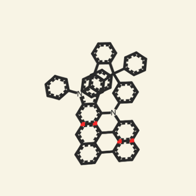 c1ccc(-c2cccc3cccc(-c4ccccc4N(c4cccc(C5(c6ccccc6)c6ccccc6-c6ccccc65)c4)c4cccc5c4c4ccccc4n5-c4ccccc4)c23)cc1